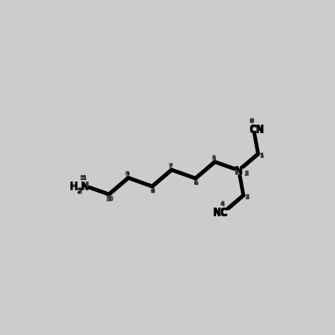 N#CCN(CC#N)CCCCCCN